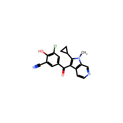 Cn1c(C2CC2)c(C(=O)c2cc(Cl)c(O)c(C#N)c2)c2ccncc21